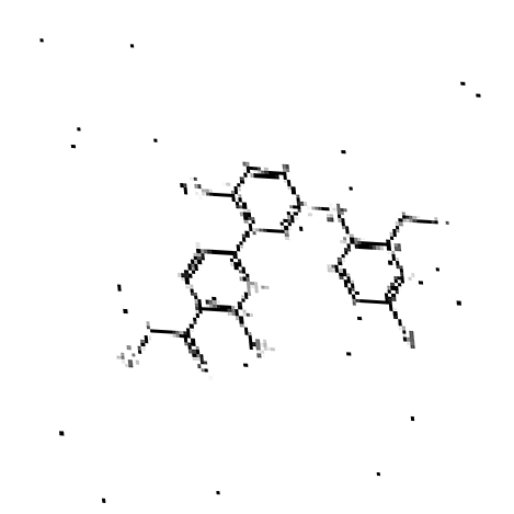 CCC(=O)c1ccc(-c2cc(Nc3ccc(Cl)cc3CF)ccc2O)nc1N